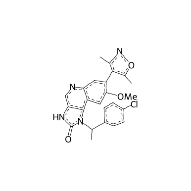 COc1cc2c(cc1-c1c(C)noc1C)ncc1[nH]c(=O)n(C(C)c3ccc(Cl)cc3)c12